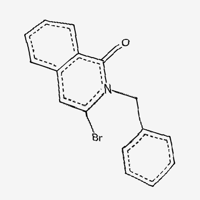 O=c1c2ccccc2cc(Br)n1Cc1ccccc1